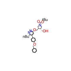 CCCCc1nnc(OC[C@H]2CN(C(=O)OC(C)(C)C)C[C@@H]2CO)cc1-c1ccc(OCc2ccccc2)cc1